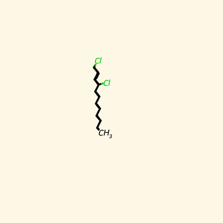 CCCCCCCCC(Cl)/C=C/CCl